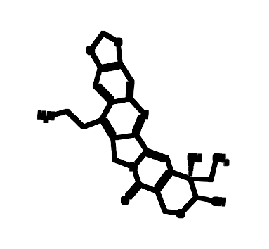 CC[C@]1(O)c2cc3n(c(=O)c2COC1O)Cc1c-3nc2cc3c(cc2c1CCN)OCO3